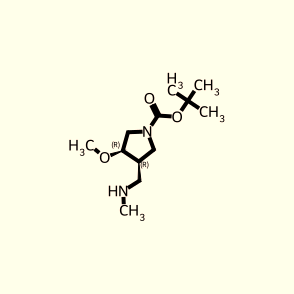 CNC[C@@H]1CN(C(=O)OC(C)(C)C)C[C@@H]1OC